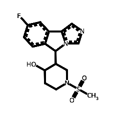 CS(=O)(=O)N1CCC(O)C(C2c3ccc(F)cc3-c3cncn32)C1